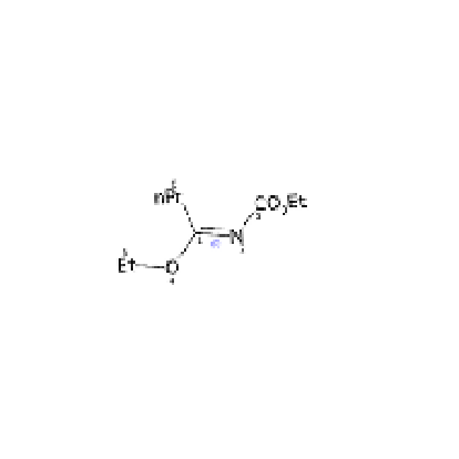 CCC/C(=N\C(=O)OCC)OCC